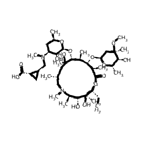 CC[C@H]1OC(=O)[C@H](C)[C@@H](O[C@H]2C[C@@](C)(OC)[C@@H](O)[C@H](C)O2)[C@H](C)[C@@H](O[C@@H]2O[C@H](C)C[C@H](N(C)C[C@H]3C[C@@H]3C(=O)O)[C@H]2O)[C@](C)(O)C[C@@H](C)CN(C)[C@H](C)[C@@H](O)[C@]1(C)O